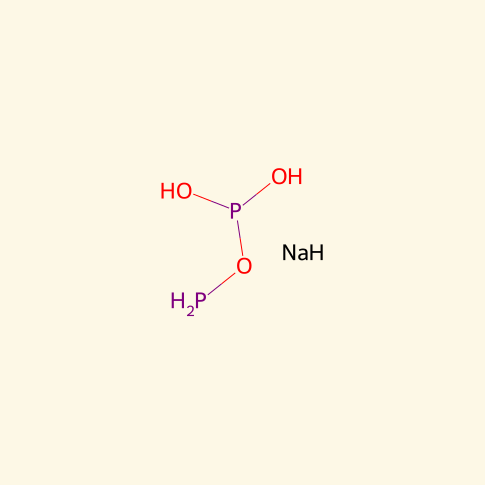 OP(O)OP.[NaH]